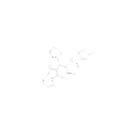 Cc1ccc(C(=O)Nc2c(-c3ccccc3)c3[nH]c4ccccc4c3[nH]c2=O)o1